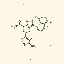 Cc1c(N)ncnc1-c1cc(C(N)=O)c2nc(C)n(-c3ccnc4c(F)ccc(F)c34)c2c1